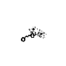 CC(C)(C)OC(=O)N1C2(CC=Cc3ccccc3)CCC1(CO[Si](C)(C)C(C)(C)C)CC2